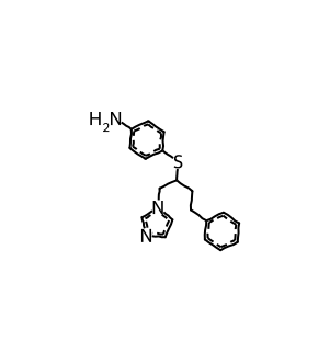 Nc1ccc(SC(CCc2ccccc2)Cn2ccnc2)cc1